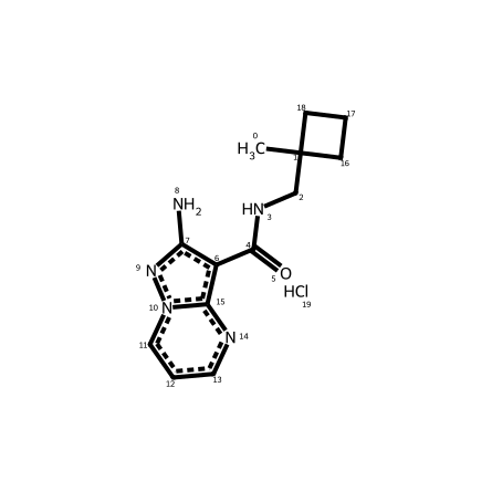 CC1(CNC(=O)c2c(N)nn3cccnc23)CCC1.Cl